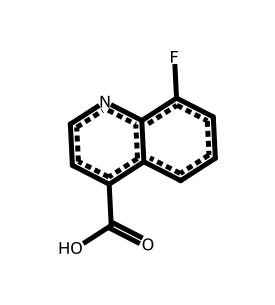 O=C(O)c1ccnc2c(F)cccc12